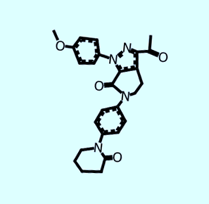 COc1ccc(-n2nc(C(C)=O)c3c2C(=O)N(c2ccc(N4CCCCC4=O)cc2)CC3)cc1